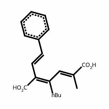 CCCCC(C=C(C)C(=O)O)=C(C=Cc1ccccc1)C(=O)O